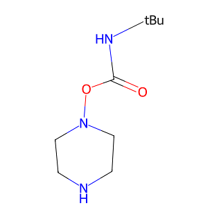 CC(C)(C)NC(=O)ON1CCNCC1